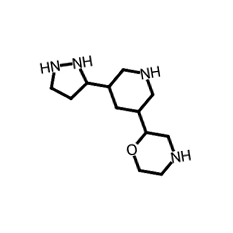 C1COC(C2CNCC(C3CCNN3)C2)CN1